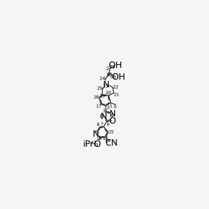 Cc1c(-c2noc(-c3cnc(OC(C)C)c(C#N)c3)n2)ccc2c1CCN(C[C@@H](O)CO)C2